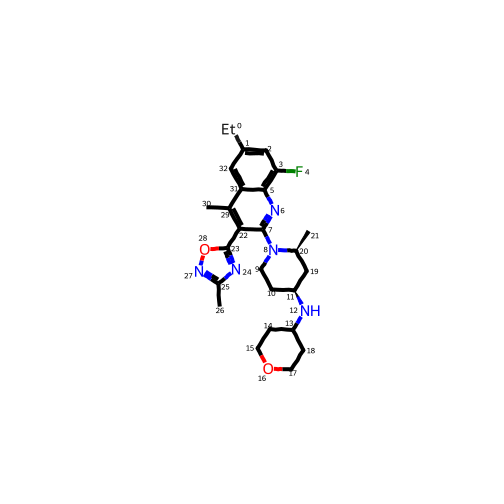 CCc1cc(F)c2nc(N3CC[C@H](NC4CCOCC4)C[C@@H]3C)c(-c3nc(C)no3)c(C)c2c1